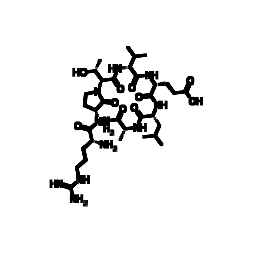 CC(C)C[C@@H](NC(=O)[C@@H](CCC(=O)O)NC(=O)[C@H](NC(=O)[C@@H]([C@@H](C)O)N1CC[C@@H](NC(=O)[C@H](N)CCCNC(=N)N)C1=O)C(C)C)C(=O)N[C@H](C)C(N)=O